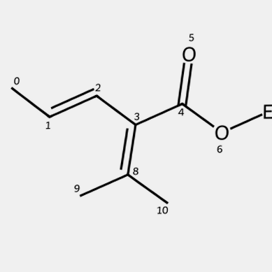 CC=CC(C(=O)OCC)=C(C)C